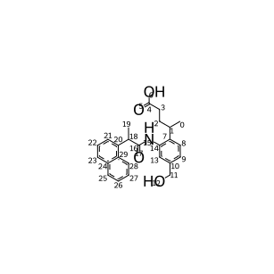 CC(CCC(=O)O)c1ccc(CO)cc1NC(=O)C(C)c1cccc2ccccc12